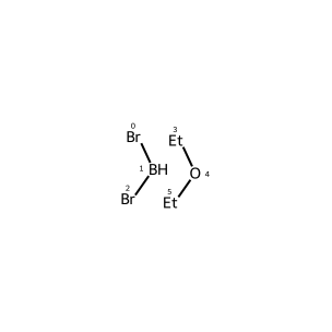 BrBBr.CCOCC